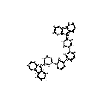 C1=C(c2cccc(-c3cccc(-c4ccc(-n5c6ccccc6c6cnccc65)cc4)n3)n2)C=C(n2c3ccccc3c3ccncc32)CC1